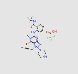 CC#CCn1c(N2CCNCC2)nc2nc(Nc3ccccc3C(=O)NC(C)(C)C)n(C)c(=O)c21.O=C(O)C(F)(F)F